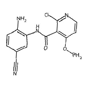 N#Cc1ccc(N)c(NC(=O)c2c(OP)ccnc2Cl)c1